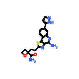 NC(=O)C1(CCc2nc3c(N)nc4cc(-c5ccn[nH]5)ccc4c3s2)CCO1